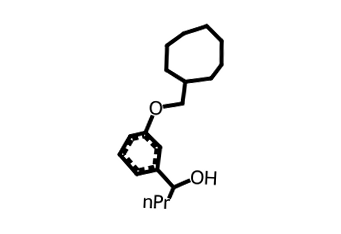 CCCC(O)c1cccc(OCC2CCCCCCC2)c1